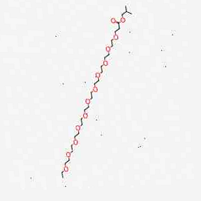 CCOCCOCCOCCOCCOCCOCCOCCOCCOCCOCCOCCC(=O)OCC(C)C